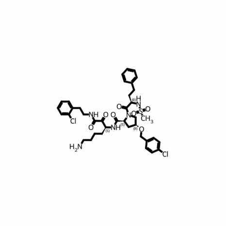 CS(=O)(=O)N[C@H](CCc1ccccc1)C(=O)N1C[C@H](OCc2ccc(Cl)cc2)C[C@H]1C(=O)N[C@@H](CCCCN)C(=O)C(=O)NCCc1ccccc1Cl